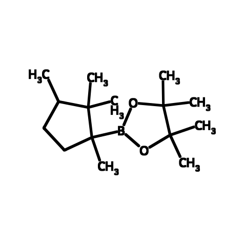 CC1CCC(C)(B2OC(C)(C)C(C)(C)O2)C1(C)C